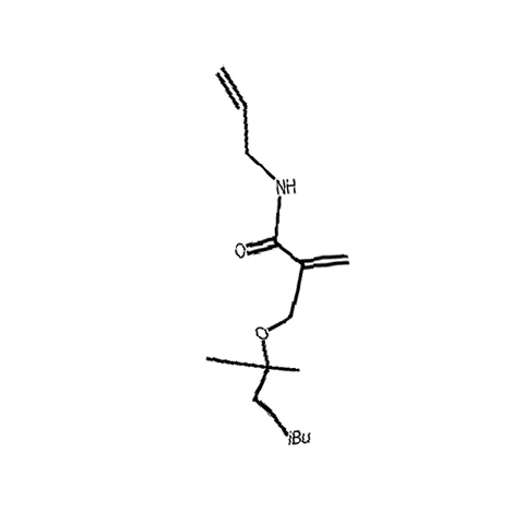 C=CCNC(=O)C(=C)COC(C)(C)CC(C)CC